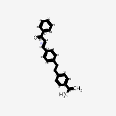 C=C(C)c1ccc(CCc2ccc(/C=C/C(=O)c3ccccc3)cc2)cc1